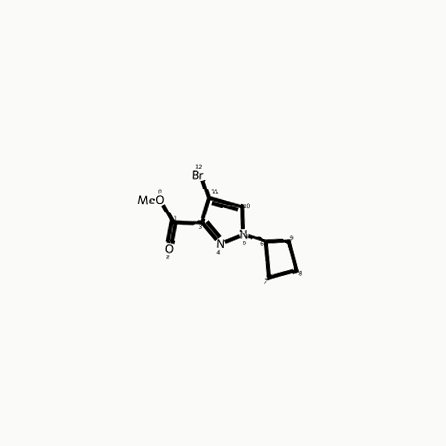 COC(=O)c1nn(C2CCC2)cc1Br